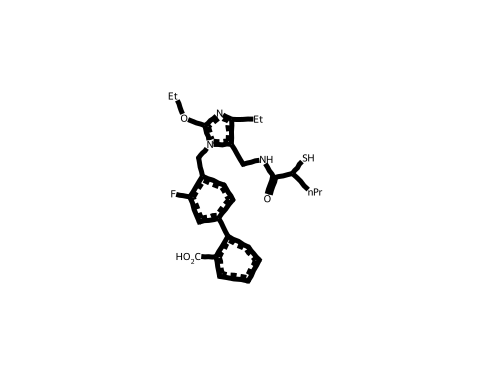 CCCC(S)C(=O)NCc1c(CC)nc(OCC)n1Cc1ccc(-c2ccccc2C(=O)O)cc1F